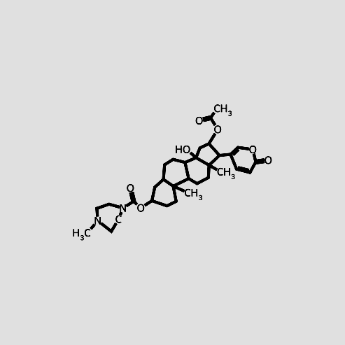 CC(=O)OC1CC2(O)C3CCC4CC(OC(=O)N5CCN(C)CC5)CCC4(C)C3CCC2(C)C1c1ccc(=O)oc1